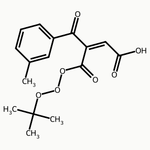 Cc1cccc(C(=O)C(=CC(=O)O)C(=O)OOOC(C)(C)C)c1